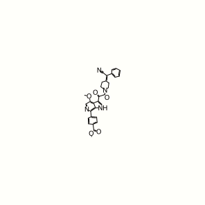 COC(=O)c1ccc(-c2ncc(OC)c3c(C(=O)C(=O)N4CCC(=C(C#N)c5ccccc5)CC4)c[nH]c23)cc1